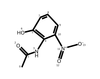 CC(=O)Nc1c(O)cccc1[N+](=O)[O-]